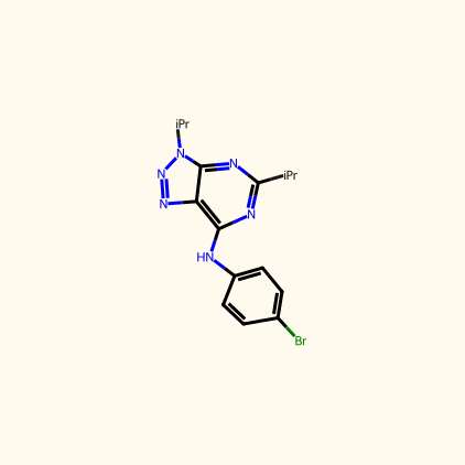 CC(C)c1nc(Nc2ccc(Br)cc2)c2nnn(C(C)C)c2n1